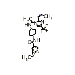 C=C(N[C@H]1CC[C@@H](NC(=O)c2cnn(CC)c2)CC1)n1cc(C(F)(F)F)nc1/C=C\C